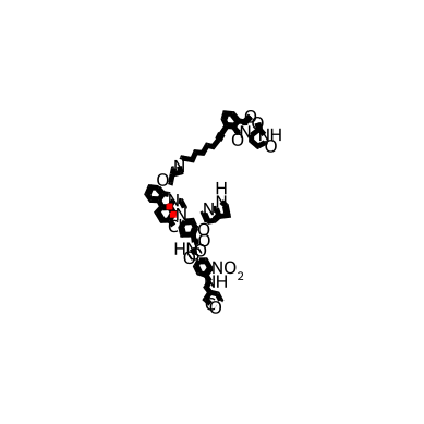 O=C1CCC(N2C(=O)c3cccc(C#CCCCCCCN4CC(COc5cccc(-c6ccc(Cl)cc6)c5CN5CCN(c6ccc(C(=O)NS(=O)(=O)c7ccc(NCC8CCOCC8)c([N+](=O)[O-])c7)c(Oc7cnc8[nH]ccc8c7)c6)CC5)C4)c3C2=O)C(=O)N1